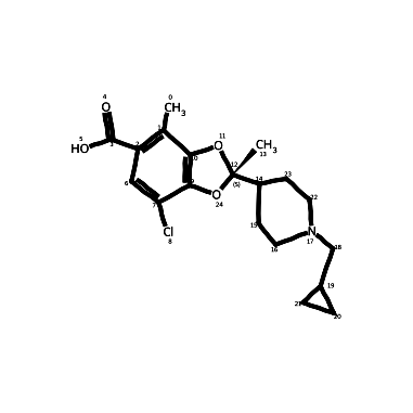 Cc1c(C(=O)O)cc(Cl)c2c1O[C@](C)(C1CCN(CC3CC3)CC1)O2